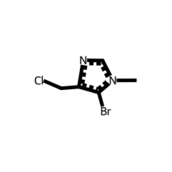 Cn1cnc(CCl)c1Br